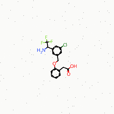 NC(c1cc(Cl)cc(COc2ccccc2CC(=O)O)c1)C(F)(F)F